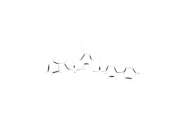 O=S(=O)(Nc1ccc(Cl)cc1NS(=O)(=O)c1cc2ccccc2o1)c1ccc(-c2ccc(Cl)cc2)cc1